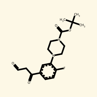 CC(C)(C)OC(=O)N1CCN(c2cc(C(=O)CC=O)ccc2F)CC1